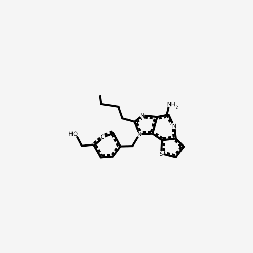 CCCCc1nc2c(N)nc3ccsc3c2n1Cc1ccc(CO)cc1